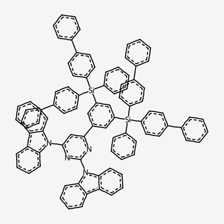 c1ccc(-c2ccc([Si](c3ccccc3)(c3ccc(-c4ccccc4)cc3)c3cc(-c4cc(-n5c6ccccc6c6ccccc65)nc(-n5c6ccccc6c6ccccc65)n4)cc([Si](c4ccccc4)(c4ccc(-c5ccccc5)cc4)c4ccc(-c5ccccc5)cc4)c3)cc2)cc1